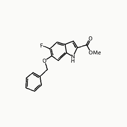 COC(=O)c1cc2cc(F)c(OCc3ccccc3)cc2[nH]1